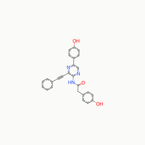 O=C(Cc1ccc(O)cc1)Nc1ncc(-c2ccc(O)cc2)nc1C#Cc1ccccc1